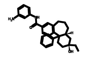 CC[C@@]1(O)CCC2(c3ccccc3)c3ccc(C(=O)Nc4cccc(N)c4)cc3CCC[C@H]2C1